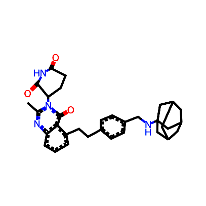 Cc1nc2cccc(CCc3ccc(CNC45CC6CC(CC(C6)C4)C5)cc3)c2c(=O)n1C1CCC(=O)NC1=O